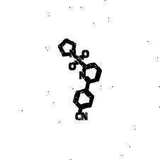 N#Cc1ccc(-c2cccc(S(=O)(=O)N3CCCC3)n2)cc1